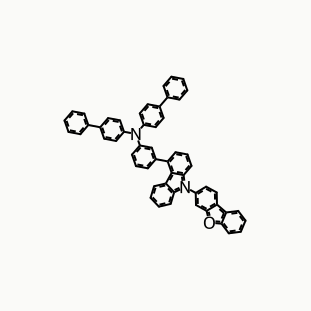 c1ccc(-c2ccc(N(c3ccc(-c4ccccc4)cc3)c3cccc(-c4cccc5c4c4ccccc4n5-c4ccc5c(c4)oc4ccccc45)c3)cc2)cc1